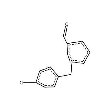 O=Cc1cccc(Cc2ccc(Cl)cc2)c1